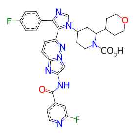 O=C(Nc1cn2nc(-c3c(-c4ccc(F)cc4)ncn3C3CCN(C(=O)O)C(C4CCOCC4)C3)ccc2n1)c1ccnc(F)c1